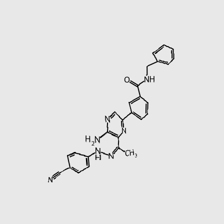 CC(=NNc1ccc(C#N)cc1)c1nc(-c2cccc(C(=O)NCc3ccccc3)c2)cnc1N